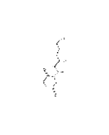 CC(OC(=O)CCCS)C1CC(=O)CCC1=O